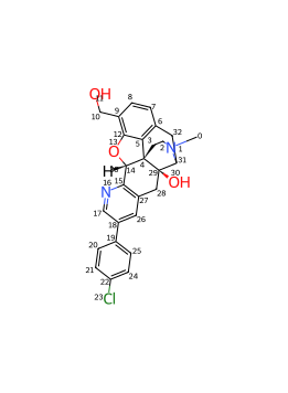 CN1CC[C@]23c4c5ccc(CO)c4O[C@H]2c2ncc(-c4ccc(Cl)cc4)cc2C[C@@]3(O)C1C5